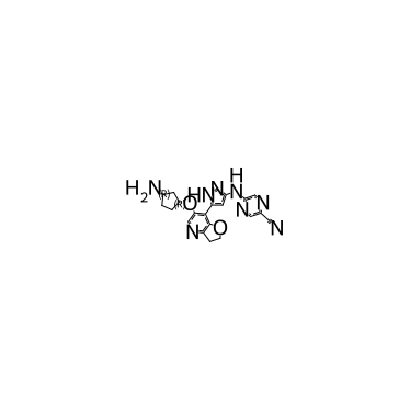 N#Cc1cnc(Nc2cc(-c3c(O[C@@H]4CC[C@@H](N)C4)cnc4c3OCC4)[nH]n2)cn1